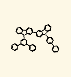 c1ccc(-c2ccc(-n3c4ccccc4c4cc(-c5ccc6c7ccccc7n(-c7cc(-c8ccccc8)cc(-c8ccccc8)c7)c6c5)ccc43)cc2)cc1